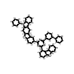 c1ccc(-c2cccc(-c3nc(-c4ccc5oc6cc7c(cc6c5c4)c4ccccc4n7-c4ccccc4)nc(-c4cccc5oc6ccccc6c45)n3)c2)cc1